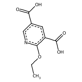 CCOc1ncc(C(=O)O)cc1C(=O)O